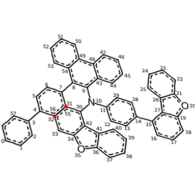 c1ccc(-c2ccc(-c3c(N(c4ccc(-c5cccc6oc7ccccc7c56)cc4)c4cccc5oc6ccccc6c45)c4ccccc4c4ccccc34)cc2)cc1